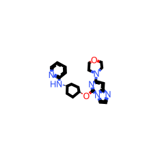 c1ccc(N[C@H]2CC[C@@H](Oc3nc(N4CCOCC4)cc4nccn34)CC2)nc1